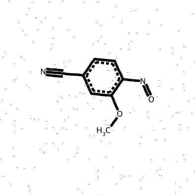 COc1cc(C#N)ccc1N=O